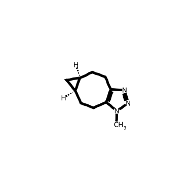 Cn1nnc2c1CC[C@H]1C[C@H]1CC2